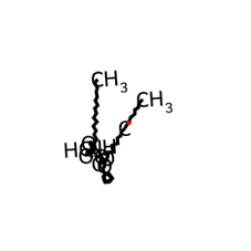 CCCCCCCCCCCCCCCCOP(=O)(OCc1ccccc1)OC[C@H](NC(=O)CCCCCCCCCCCCCCC)C(=O)O